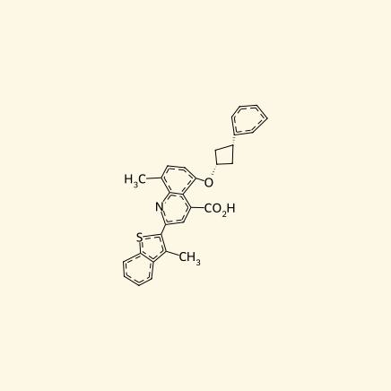 Cc1c(-c2cc(C(=O)O)c3c(O[C@H]4C[C@@H](c5ccccc5)C4)ccc(C)c3n2)sc2ccccc12